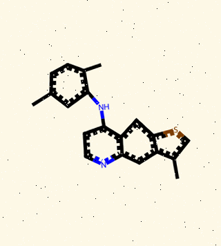 Cc1ccc(C)c(Nc2ccnc3cc4c(C)csc4cc23)c1